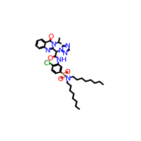 CCCCCCCCN(CCCCCCCC)S(=O)(=O)c1ccc(Cl)c(NC(=O)C(c2nc3ccccc3c(=O)n2C(C)C)n2cncn2)c1